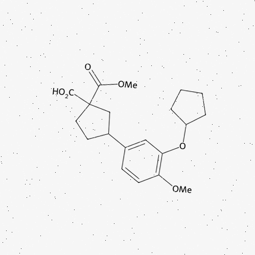 COC(=O)C1(C(=O)O)CCC(c2ccc(OC)c(OC3CCCC3)c2)C1